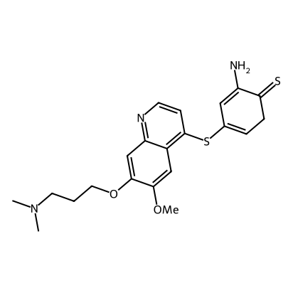 COc1cc2c(SC3=CCC(=S)C(N)=C3)ccnc2cc1OCCCN(C)C